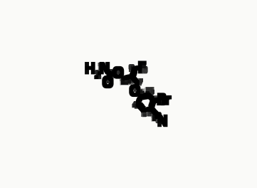 N#Cc1ccc(OC/C(=C\F)COC(N)=O)cc1Br